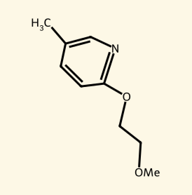 COCCOc1ccc(C)cn1